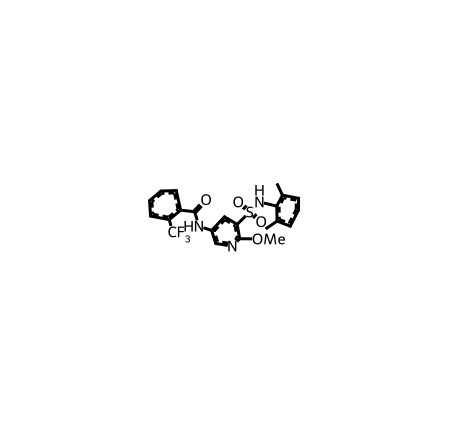 COc1ncc(NC(=O)c2ccccc2C(F)(F)F)cc1S(=O)(=O)Nc1c(C)cccc1C